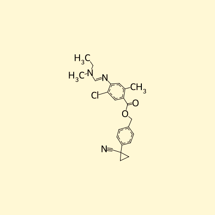 CCN(C)/C=N/c1cc(C)c(C(=O)OCc2ccc(C3(C#N)CC3)cc2)cc1Cl